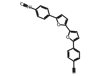 [C-]#[N+]c1ccc(-c2ccc(-c3ccc(-c4ccc(C#N)cc4)o3)o2)cc1